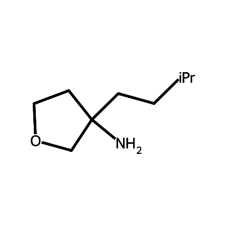 CC(C)CCC1(N)CCOC1